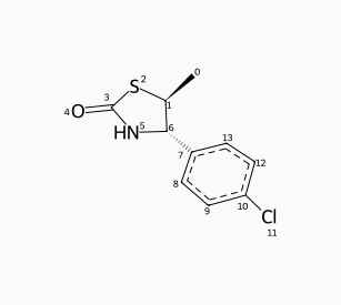 C[C@@H]1SC(=O)N[C@H]1c1ccc(Cl)cc1